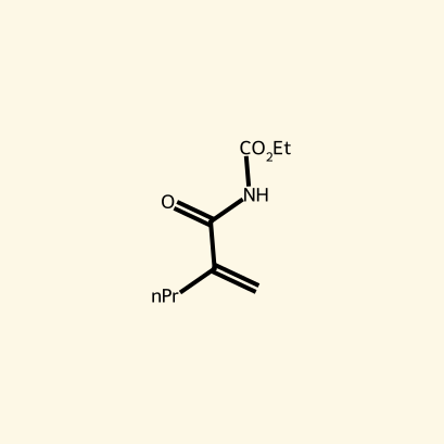 C=C(CCC)C(=O)NC(=O)OCC